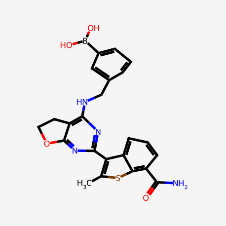 Cc1sc2c(C(N)=O)cccc2c1-c1nc(NCc2cccc(B(O)O)c2)c2c(n1)OCC2